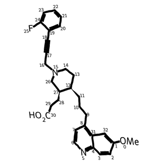 COc1ccc2nccc(CCC[C@@H]3CCN(CC#Cc4ccccc4F)C[C@@H]3CCC(=O)O)c2c1